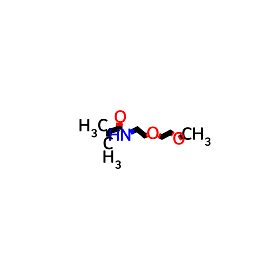 COCCOCCNC(=O)C(C)C